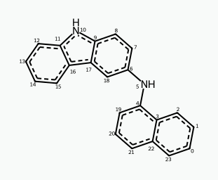 c1ccc2c(Nc3ccc4[nH]c5ccccc5c4c3)cccc2c1